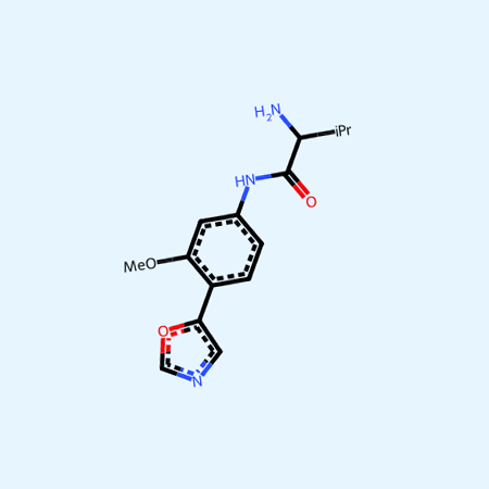 COc1cc(NC(=O)C(N)C(C)C)ccc1-c1cnco1